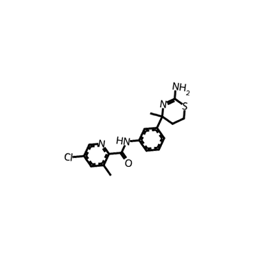 Cc1cc(Cl)cnc1C(=O)Nc1cccc(C2(C)CCSC(N)=N2)c1